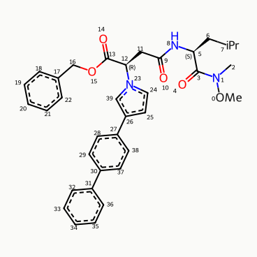 CON(C)C(=O)[C@H](CC(C)C)NC(=O)C[C@H](C(=O)OCc1ccccc1)n1ccc(-c2ccc(-c3ccccc3)cc2)c1